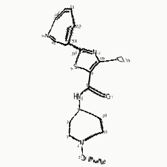 CON1CCC(NC(=O)c2sc(-c3cccnc3)nc2Cl)CC1